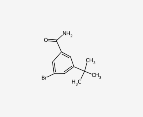 CC(C)(C)c1cc(Br)cc(C(N)=O)c1